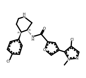 Cn1ncc(Cl)c1-c1coc(C(=O)N[C@H]2CNCC[C@@H]2c2ccc(Cl)cc2)c1